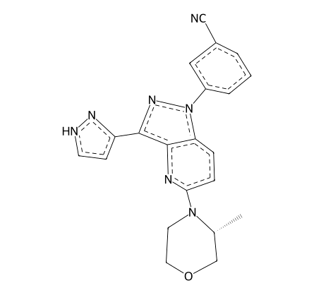 C[C@@H]1COCCN1c1ccc2c(n1)c(-c1cc[nH]n1)nn2-c1cccc(C#N)c1